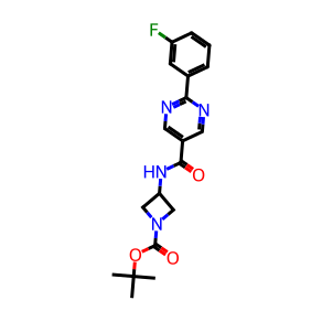 CC(C)(C)OC(=O)N1CC(NC(=O)c2cnc(-c3cccc(F)c3)nc2)C1